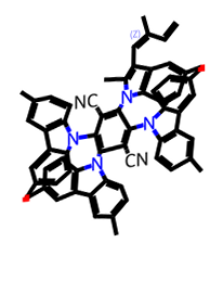 C=C/C(C)=C\c1c(C)n(-c2c(C#N)c(-n3c4ccc(C)cc4c4cc(C)ccc43)c(-n3c4ccc(C)cc4c4cc(C)ccc43)c(C#N)c2-n2c3ccc(C)cc3c3cc(C)ccc32)c2ccc(C)cc12